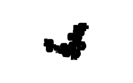 COc1cc(-c2nccc(-c3cccc(-c4ccc(CN(C)C(=O)OC(C)(C)C)c(OC)n4)c3Cl)c2Cl)ccc1CNCCC(=O)OC(C)C